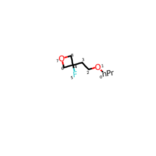 CCCOCCC1(F)COC1